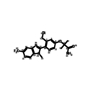 CCSc1cc(OC(C)(C)C(N)=O)cnc1-c1nc2cc(C(F)(F)F)ncc2n1C